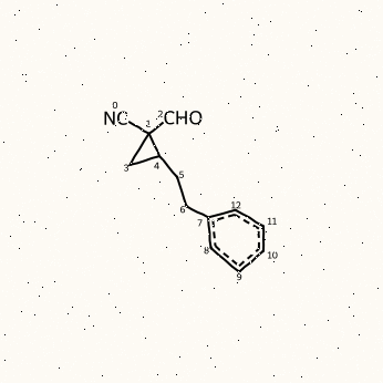 N#CC1(C=O)CC1CCc1ccccc1